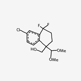 COC(OC)C1(CO)CCC(F)(F)c2cc(Cl)ccc21